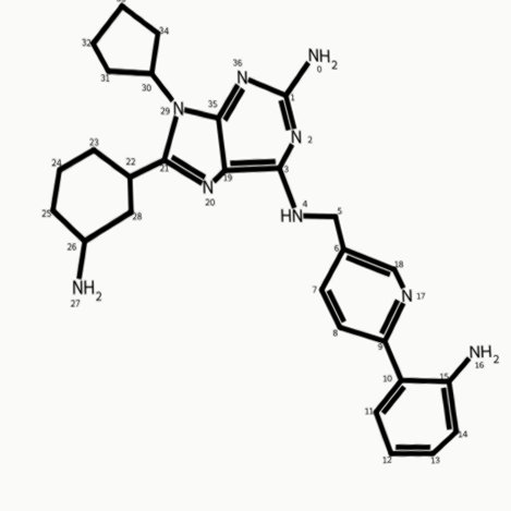 Nc1nc(NCc2ccc(-c3ccccc3N)nc2)c2nc(C3CCCC(N)C3)n(C3CCCC3)c2n1